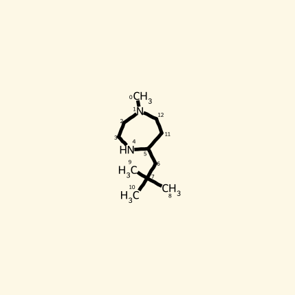 CN1CCNC(CC(C)(C)C)CC1